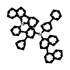 c1ccc(-c2ccc(N(c3ccc(-c4ccccc4-n4c5ccccc5c5ccc6ccccc6c54)c(-c4ccccc4)c3)c3ccc(-c4cccc5ccccc45)c4ccccc34)cc2)cc1